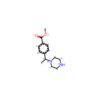 COC(=O)c1ccc(C(C)N2CCNCC2)cc1